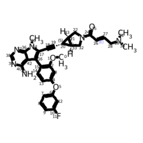 COc1cc(Oc2cccc(F)c2)ccc1-c1c(C#C[C@@H]2[C@H]3CN(C(=O)/C=C/CN(C)C)C[C@@H]23)n(C)c2ncnc(N)c12